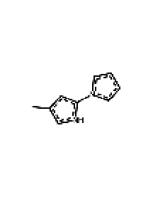 Cc1c[nH]c(-n2cccc2)c1